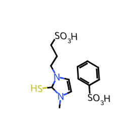 CN1C=CN(CCCS(=O)(=O)O)C1S.O=S(=O)(O)c1ccccc1